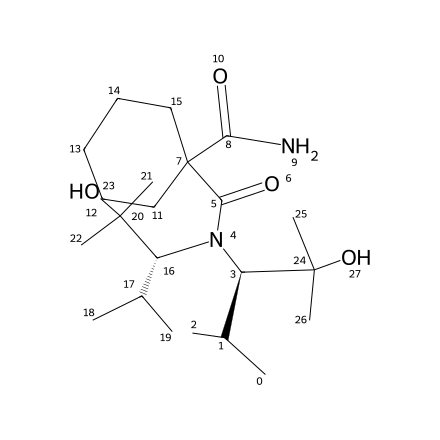 CC(C)[C@@H](N(C(=O)C1(C(N)=O)CCCCC1)[C@H](C(C)C)C(C)(C)O)C(C)(C)O